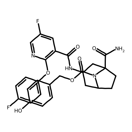 NC(=O)C12CCC(CC(NC(=O)c3cc(F)cnc3Oc3ccc(F)cc3)C1)N2C(=O)OCc1ccc(O)cc1